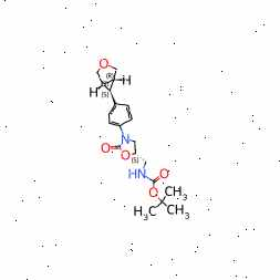 CC(C)(C)OC(=O)NC[C@H]1CN(c2ccc([C@H]3[C@@H]4COC[C@@H]43)cc2)C(=O)O1